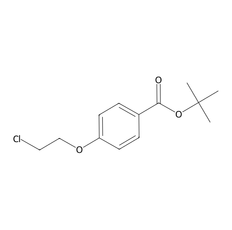 CC(C)(C)OC(=O)c1ccc(OCCCl)cc1